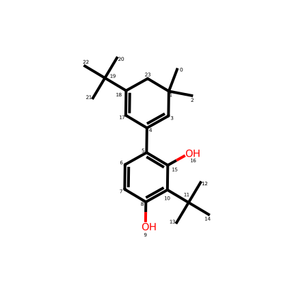 CC1(C)C=C(c2ccc(O)c(C(C)(C)C)c2O)C=C(C(C)(C)C)C1